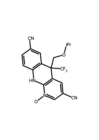 CC(C)OCC1(C(F)(F)F)c2cc(C#N)ccc2Nc2c1cc(C#N)c[n+]2[O-]